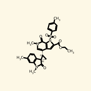 CCOC(=O)c1cc2c([C@@H]3C[C@@]34C(=O)N(C)c3cc(C)ccc34)cn(C)c(=O)c2n1S(=O)(=O)c1ccc(C)cc1